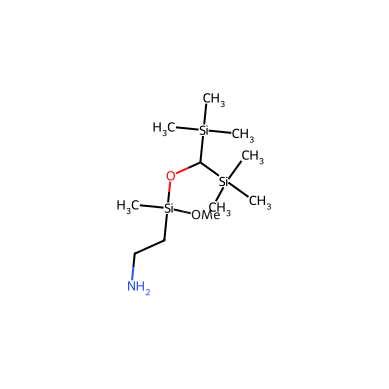 CO[Si](C)(CCN)OC([Si](C)(C)C)[Si](C)(C)C